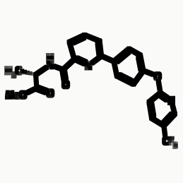 COC(=O)[C@H](C)NC(=O)c1cccc(-c2ccc(Oc3ccc(C(F)(F)F)cn3)cc2)n1